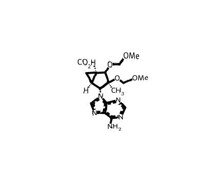 COCOC1[C@@](C)(OCOC)[C@H](n2cnc3c(N)ncnc32)[C@H]2C[C@@]12C(=O)O